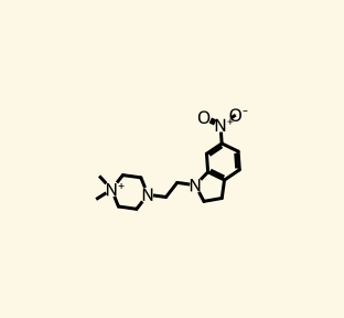 C[N+]1(C)CCN(CCN2CCc3ccc([N+](=O)[O-])cc32)CC1